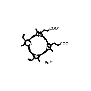 C=CC1=C(C)c2cc3[nH]c(cc4nc(cc5[nH]c(cc1n2)c(C)c5CCC(=O)[O-])C(CCC(=O)[O-])=C4C)c(C)c3C=C.[Pd+2]